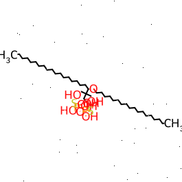 CCCCCCCCCCCCCCCCCCOC(CCCCCCCCCCCCCCCCCC)C(CO)(CO)CO.OP(O)(=S)OP(O)(O)=S